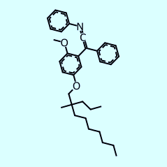 CCCCCCCC(C)(CCC)COc1ccc(OC)c(C(=C=Nc2ccccc2)c2ccccc2)c1